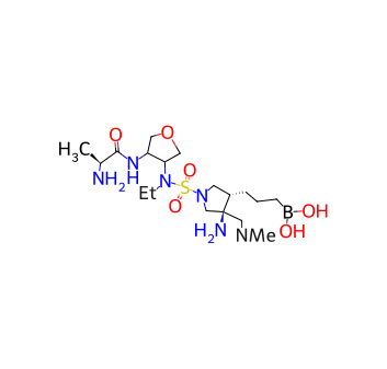 CCN(C1COCC1NC(=O)[C@H](C)N)S(=O)(=O)N1C[C@H](CCCB(O)O)[C@](N)(CNC)C1